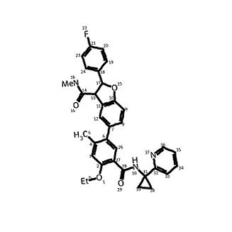 CCOc1cc(C)c(-c2ccc3c(c2)C(C(=O)NC)C(c2ccc(F)cc2)O3)cc1C(=O)NC1(c2ccccn2)CC1